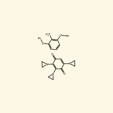 CC(C)Oc1cccc(OC(C)C)c1P.O=C1C=C(N2CC2)C(=O)C(N2CC2)=C1N1CC1